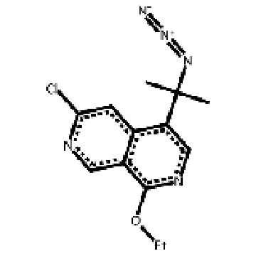 CCOc1ncc(C(C)(C)N=[N+]=[N-])c2cc(Cl)ncc12